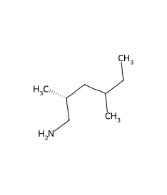 CCC(C)C[C@@H](C)CN